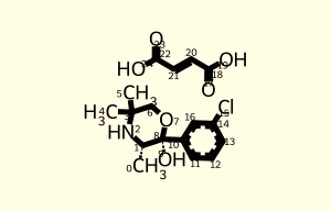 C[C@@H]1NC(C)(C)CO[C@@]1(O)c1cccc(Cl)c1.O=C(O)C=CC(=O)O